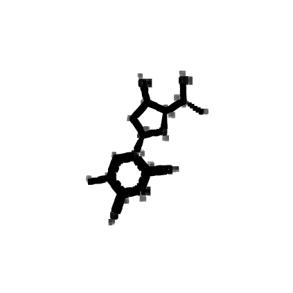 Cc1cn([C@H]2CC(O)[C@@H]([C@@H](C)O)O2)c(=O)[nH]c1=O